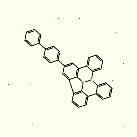 c1ccc(-c2ccc(-c3cc4c5c(c3)c3cccc6c3n5B(c3ccccc3-6)c3ccccc3-4)cc2)cc1